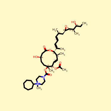 CC[C@H](O)[C@@H](C)[C@H]1O[C@@H]1C[C@H](C)/C=C/C=C(\C)[C@H]1OC(=O)C[C@H](O)CC[C@@](C)(OC(=O)N2CC[N+](C)(C3CCCCCC3)CC2)[C@@H](OC(C)=O)/C=C/[C@@H]1C